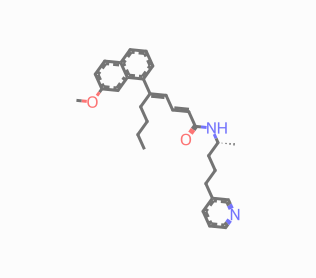 CCCC/C(=C\C=C\C(=O)N[C@H](C)CCCc1cccnc1)c1cccc2ccc(OC)cc12